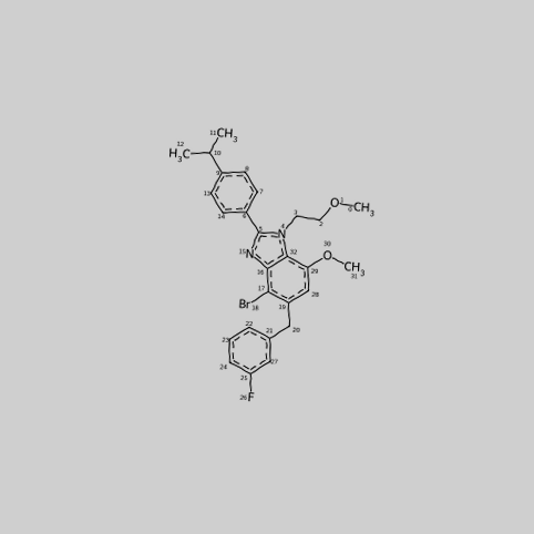 COCCn1c(-c2ccc(C(C)C)cc2)nc2c(Br)c(Cc3cccc(F)c3)cc(OC)c21